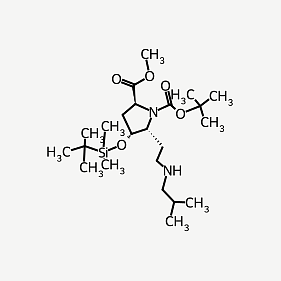 COC(=O)[C@@H]1C[C@@H](O[Si](C)(C)C(C)(C)C)[C@@H](CCNCC(C)C)N1C(=O)OC(C)(C)C